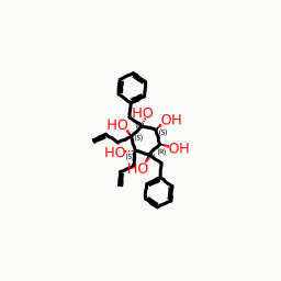 C=CC[C@@]1(O)[C@](O)(CC=C)[C@@](O)(Cc2ccccc2)[C@@H](O)[C@@H](O)[C@]1(O)Cc1ccccc1